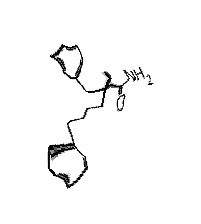 CC(CCCCc1ccccc1)(Cc1ccccc1)C(N)=O